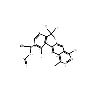 Cc1nnc(N)c2ccc(-c3c(C(F)(F)F)ccc(B(O)OC=O)c3F)cc12